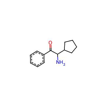 NC(C(=O)c1ccccc1)C1CCCC1